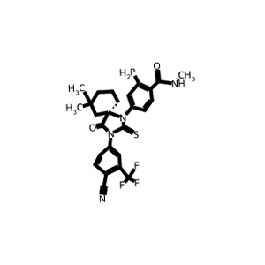 CNC(=O)c1ccc(N2C(=S)N(c3ccc(C#N)c(C(F)(F)F)c3)C(=O)[C@]23CCCC(C)(C)C3)cc1P